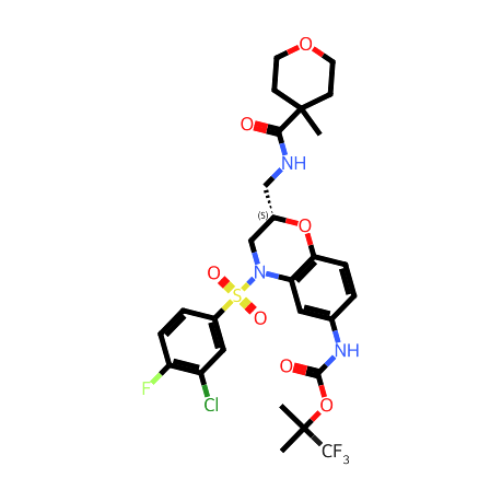 CC1(C(=O)NC[C@H]2CN(S(=O)(=O)c3ccc(F)c(Cl)c3)c3cc(NC(=O)OC(C)(C)C(F)(F)F)ccc3O2)CCOCC1